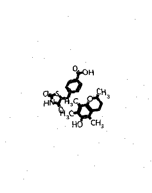 Cc1c(C)c2c(c(C)c1O)CCC(C)O2.O=C1NC(=O)C(Cc2ccc(C(=O)O)cc2)S1